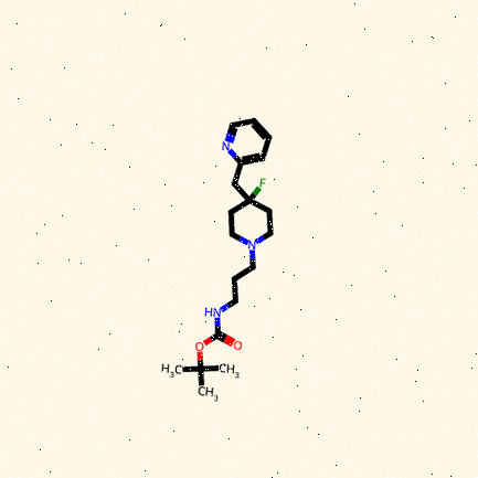 CC(C)(C)OC(=O)NCCCN1CCC(F)(Cc2ccccn2)CC1